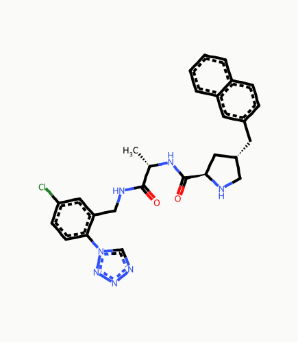 C[C@H](NC(=O)[C@H]1C[C@H](Cc2ccc3ccccc3c2)CN1)C(=O)NCc1cc(Cl)ccc1-n1cnnn1